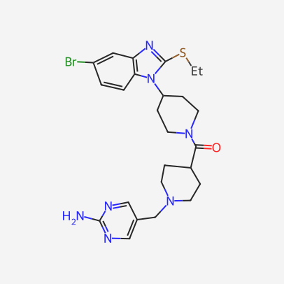 CCSc1nc2cc(Br)ccc2n1C1CCN(C(=O)C2CCN(Cc3cnc(N)nc3)CC2)CC1